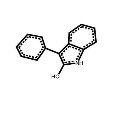 Oc1[nH]c2ccccc2c1-c1ccccc1